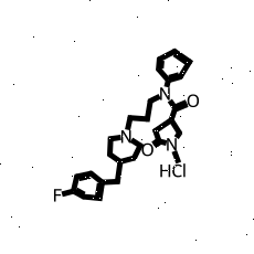 CN1CC(C(=O)N(CCCN2CCC(Cc3ccc(F)cc3)CC2)c2ccccc2)CC1=O.Cl